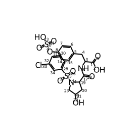 O=C(O)C(Cc1ccc(OS(=O)(=O)O)cc1)NC(=O)C1C[C@@H](O)CN1S(=O)(=O)c1cccc(Cl)c1